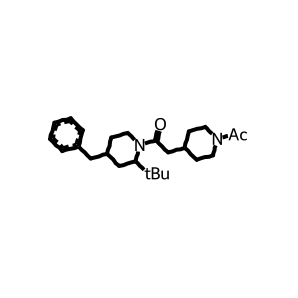 CC(=O)N1CCC(CC(=O)N2CCC(Cc3ccccc3)CC2C(C)(C)C)CC1